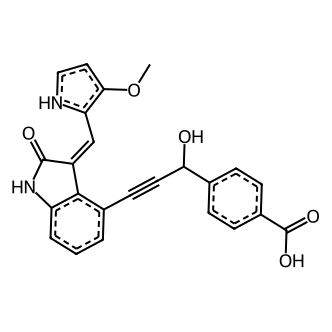 COc1cc[nH]c1C=C1C(=O)Nc2cccc(C#CC(O)c3ccc(C(=O)O)cc3)c21